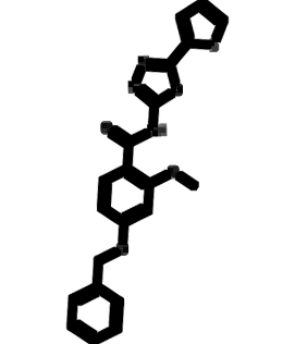 COc1cc(OCc2ccccc2)ccc1C(=O)Nc1nnc(-c2cccs2)o1